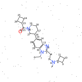 CCn1c(CCN(C)C2CCC2)nc2cc(C3CCCN(C(=O)C4CCC4)C3)ccc21